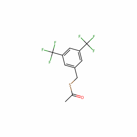 CC(=O)SCc1cc(C(F)(F)F)cc(C(F)(F)F)c1